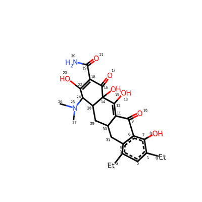 CCc1cc(CC)c2c(c1O)C(=O)C1=C(O)C3(O)C(=O)C(C(N)=O)=C(O)C(N(C)C)C3CC1C2